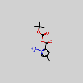 Cc1cc(C(=O)OC(=O)OC(C)(C)C)n(N)c1